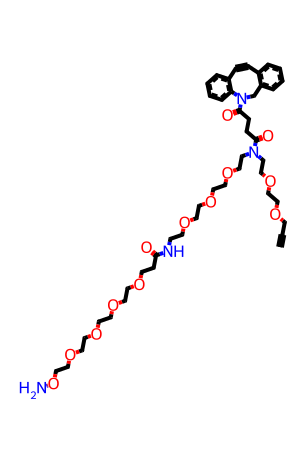 C#CCOCCOCCN(CCOCCOCCOCCNC(=O)CCOCCOCCOCCOCCON)C(=O)CCC(=O)N1Cc2ccccc2C#Cc2ccccc21